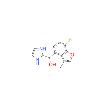 Cc1coc2c(F)ccc(C(O)C3NC=CN3)c12